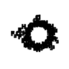 CCC(C)[C@@H]1NC(=O)[C@H](CC(C)C)N(C)C(=O)C[C@@H](C)N(C)C(=O)[C@H](CC(C)C)NC(=O)C(C)(C)N(C)C(=O)[C@H](CC(C)C)NC(=O)[C@H](CCc2cc(F)c(C(F)(F)F)c(F)c2)NC(=O)CN(C)C(=O)[C@H](Cc2ccc(Cl)cc2)N(C)C(=O)CN(C)C(=O)CN(C)C1=O